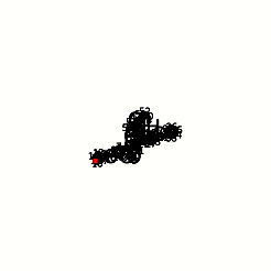 COC(=O)C(Cc1ccc(OCc2ccccc2)cc1)N(C)C(=O)C(Cc1ccc(OCc2ccccc2)cc1)N(C)C(=O)C(NC(=O)OC(C)(C)C)C(C)C